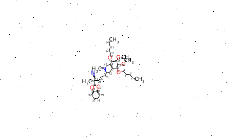 CCCCCOc1c2c(c(OCCCCC)c(OC)c1OC)CN(C)C(CCCC(C)(C#N)C1Oc3ccccc3O1)C2